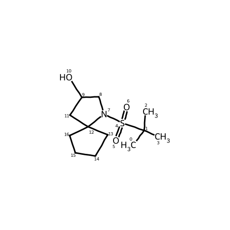 CC(C)(C)S(=O)(=O)N1CC(O)CC12CCCC2